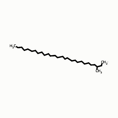 [CH2]CC(C)CCCCCCCCCCCCCCCCCCCCCCCCC